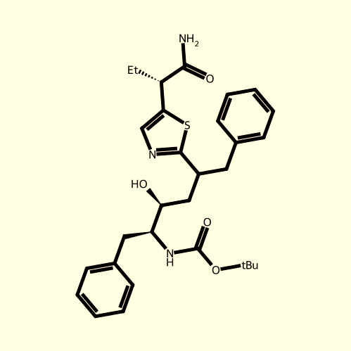 CC[C@H](C(N)=O)c1cnc(C(Cc2ccccc2)C[C@H](O)[C@H](Cc2ccccc2)NC(=O)OC(C)(C)C)s1